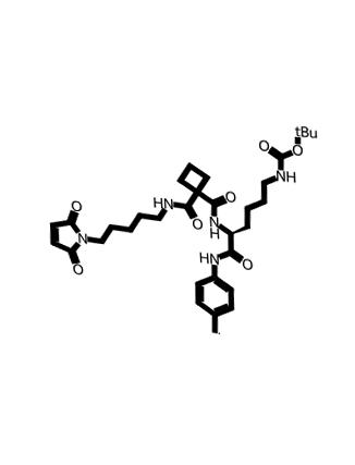 [CH2]c1ccc(NC(=O)[C@H](CCCCNC(=O)OC(C)(C)C)NC(=O)C2(C(=O)NCCCCCN3C(=O)C=CC3=O)CCC2)cc1